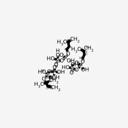 C=C(C)CCOP(=O)(O)OP(=O)(O)O.C=C(C)CCOP(=O)(O)OP(=O)(O)O.C=CC(C)(C)OP(=O)(O)OP(=O)(O)O